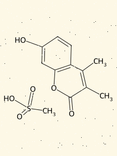 CS(=O)(=O)O.Cc1c(C)c2ccc(O)cc2oc1=O